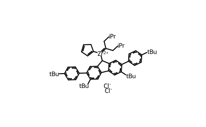 CC(C)C[C](CC(C)C)=[Zr+2]([C]1=CC=CC1)[CH]1c2cc(-c3ccc(C(C)(C)C)cc3)c(C(C)(C)C)cc2-c2cc(C(C)(C)C)c(-c3ccc(C(C)(C)C)cc3)cc21.[Cl-].[Cl-]